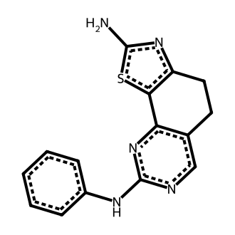 Nc1nc2c(s1)-c1nc(Nc3ccccc3)ncc1CC2